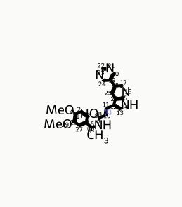 COc1ccc([C@@H](C)NC(O)/C=C/c2c[nH]c3ncc(-c4cncnc4)cc23)cc1OC